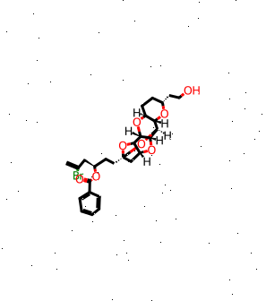 C=C(Br)C[C@@H](CC[C@@]12C[C@H]3O[C@H]4[C@@H](O1)[C@H]1O[C@@H](CCO)CC[C@@H]1O[C@H]4C3O2)OC(=O)c1ccccc1